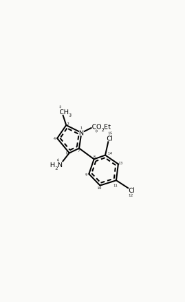 CCOC(=O)n1c(C)cc(N)c1-c1ccc(Cl)cc1Cl